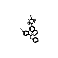 COc1ccc(/C(=N/c2ccccc2)N2CCCc3cc(C4=NNC(=O)SC4(C)C)ccc32)cc1